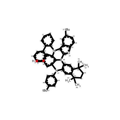 Cc1cc2c3c(c1)N(c1ccccc1-c1ccccc1)c1c(oc4ccc(C(C)(C)C)cc14)B3c1cc3c(cc1N2c1ccc(C(C)(C)C)cc1)C(C)(C)CCC3(C)C